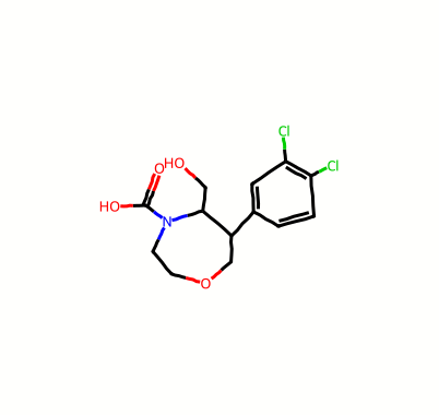 O=C(O)N1CCOCC(c2ccc(Cl)c(Cl)c2)C1CO